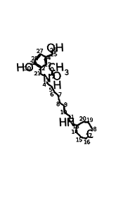 CC(O)N(CCCCCCCCNC1CCCCCCC1)Cc1cc(CO)ccc1O